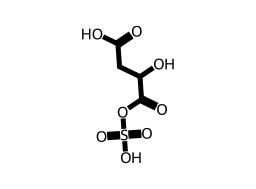 O=C(O)CC(O)C(=O)OS(=O)(=O)O